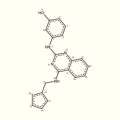 Oc1cccc(Nc2nc(NCc3cccs3)c3ccccc3n2)c1